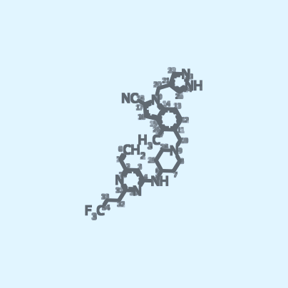 C=Cc1cc(NC2CCN(Cc3ccc4c(cc(C#N)n4Cc4cn[nH]c4)c3C)CC2)nc(CCC(F)(F)F)n1